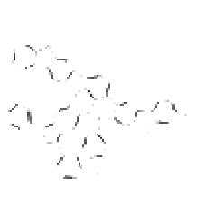 CC(C)(C)c1ccc(N2B3c4cc5c(-c6ccccc6)oc(-c6ccccc6)c5cc4-n4c5cc6c(cc5c5ccc(c3c54)-c3cc4c(cc32)sc2cc(C(C)(C)C)ccc24)C(C)(C)c2ccccc2-6)cc1